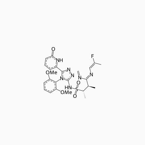 C=N/C(=N\C=C(/C)F)[C@@H](C)[C@H](C)S(=O)(=O)Nc1nnc(-c2cccc(=O)[nH]2)n1-c1c(OC)cccc1OC